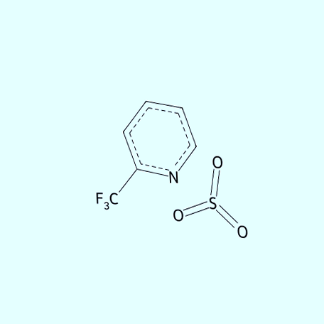 FC(F)(F)c1ccccn1.O=S(=O)=O